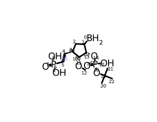 BC1C[C@H](/C=C/P(=O)(O)O)[C@@H](OC)[C@H]1OP(=O)(O)OC(C)(C)C